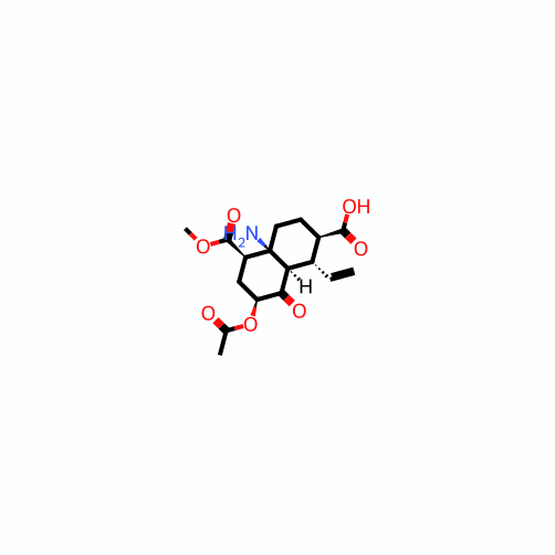 C=C[C@@H]1[C@H]2C(=O)[C@@H](OC(C)=O)C[C@@H](C(=O)OC)[C@]2(N)CC[C@H]1C(=O)O